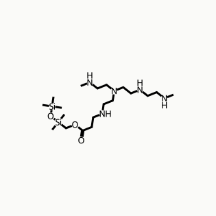 CNCCNCCN(CCNC)CCNCCC(=O)OC[Si](C)(C)O[Si](C)(C)C